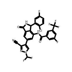 N#Cc1nn(C(F)F)cc1-c1cc(NC(=O)c2cc(F)cc(C(F)(F)F)c2)c2c(c1)C(=O)NC2c1cc(F)ccc1Cl